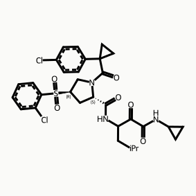 CC(C)CC(NC(=O)[C@@H]1C[C@@H](S(=O)(=O)c2ccccc2Cl)CN1C(=O)C1(c2ccc(Cl)cc2)CC1)C(=O)C(=O)NC1CC1